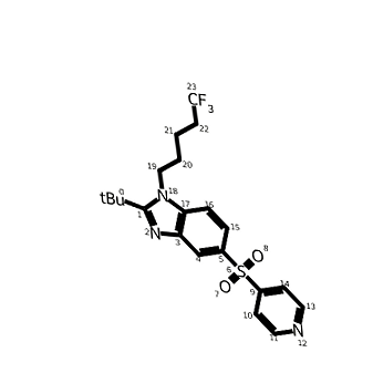 CC(C)(C)c1nc2cc(S(=O)(=O)c3ccncc3)ccc2n1CCCCC(F)(F)F